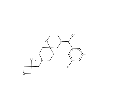 CC1(CN2CCC3(CC2)CN([S+]([O-])c2cc(F)cc(F)c2)CCO3)COC1